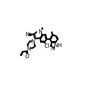 C=CC(=O)N1CCN(/C(=C(/C)C#N)c2cc(Cl)c(-c3c(C)ccc4[nH]ncc34)cc2N=C)CC1